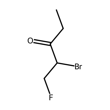 CCC(=O)C(Br)CF